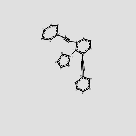 C(#Cc1cccc(C#Cc2ccccc2)c1-n1cccc1)c1ccccc1